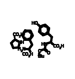 CC(C)(C)OC(=O)NC(Cc1ccc(O)cc1)C(=O)O.NC(Cc1ccccc1)C(=O)O.O=C(O)[C@@H]1CCCN1